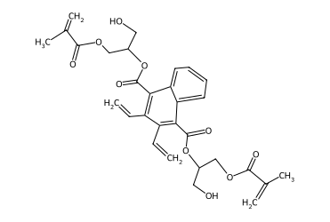 C=Cc1c(C=C)c(C(=O)OC(CO)COC(=O)C(=C)C)c2ccccc2c1C(=O)OC(CO)COC(=O)C(=C)C